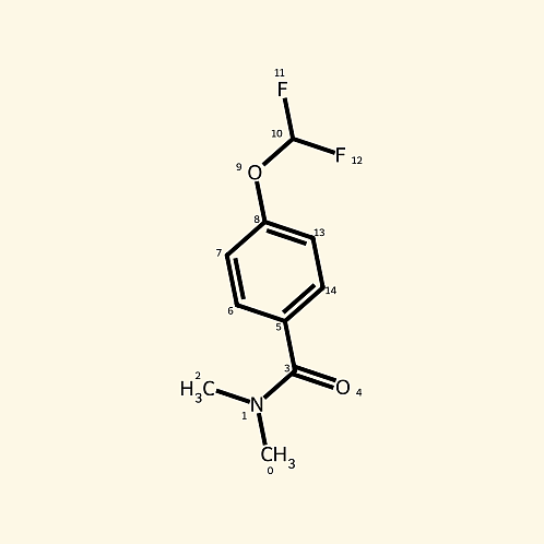 CN(C)C(=O)c1ccc(OC(F)F)cc1